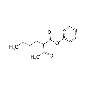 CCCCC(C(C)=O)C(=O)Oc1ccccc1